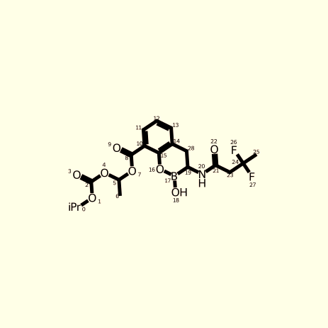 CC(C)OC(=O)OC(C)OC(=O)c1cccc2c1OB(O)C(NC(=O)CC(C)(F)F)C2